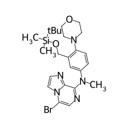 CN(c1ccc(N2CCOCC2)c(CO[Si](C)(C)C(C)(C)C)c1)c1ncc(Br)n2ccnc12